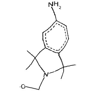 CC1(C)c2ccc(N)cc2C(C)(C)N1C[O]